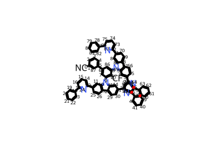 N#Cc1cccc(-c2cc(-n3c4cc(-c5cccc(-c6ccccc6)n5)ccc4c4ccc(-c5cccc(-c6ccccc6)n5)cc43)c(C(F)(F)F)c(-n3c4cc(-c5cccc(-c6ccccc6)n5)ccc4c4ccc(-c5cccc(-c6ccccc6)n5)cc43)c2)c1